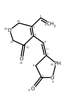 C=CC1=C(/C=C2\CC(=O)OP2)C(=O)COC1